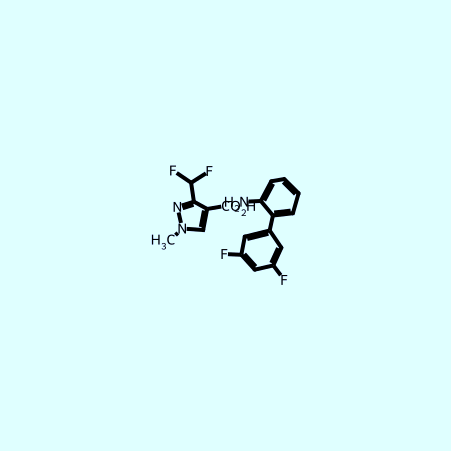 Cn1cc(C(=O)O)c(C(F)F)n1.Nc1ccccc1-c1cc(F)cc(F)c1